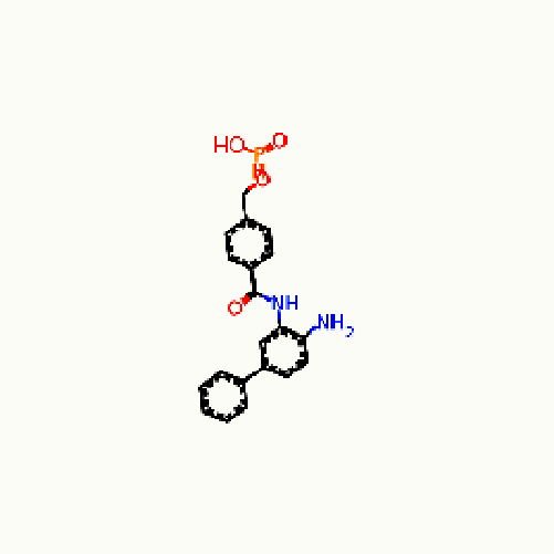 Nc1ccc(-c2ccccc2)cc1NC(=O)c1ccc(CO[PH](=O)O)cc1